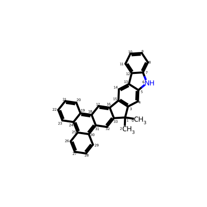 CC1(C)c2cc3[nH]c4ccccc4c3cc2-c2cc3c4ccccc4c4ccccc4c3cc21